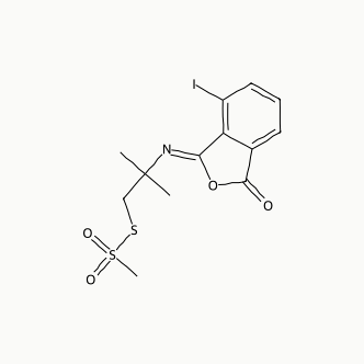 CC(C)(CSS(C)(=O)=O)/N=C1\OC(=O)c2cccc(I)c21